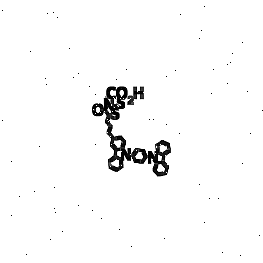 O=C(O)CN1C(=O)/C(=C/C=C/c2ccc3c(c2)c2ccccc2n3-c2ccc(-n3c4ccccc4c4ccccc43)cc2)SC1=S